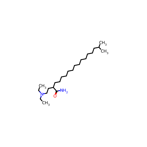 CCN(CC)CCC(CCCCCCCCCCCCCC(C)C)C(N)=O